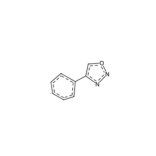 [c]1ccc(-c2conn2)cc1